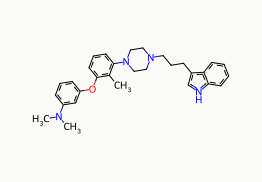 Cc1c(Oc2cccc(N(C)C)c2)cccc1N1CCN(CCCc2c[nH]c3ccccc23)CC1